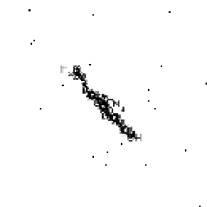 C=CC(=O)OCCCCOc1ccc(C(=O)Oc2ccc(OC(=O)c3ccc(OCc4ccc(BO)cc4)cc3)c(C)c2C)cc1